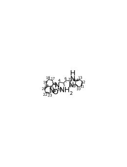 NC(=O)N(CC[CH]c1nc2ccccc2[nH]1)C1CCCc2cccnc21